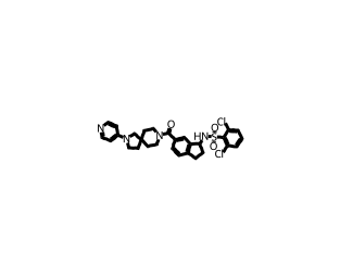 O=C(c1ccc2c(c1)C(NS(=O)(=O)c1c(Cl)cccc1Cl)CC2)N1CCC2(CC1)CCN(c1ccncc1)C2